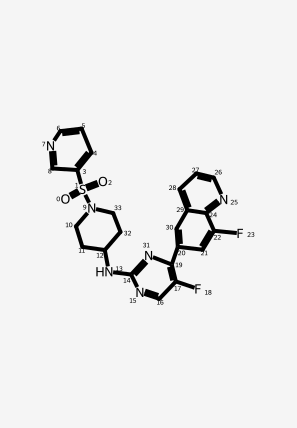 O=S(=O)(c1cccnc1)N1CCC(Nc2ncc(F)c(-c3cc(F)c4ncccc4c3)n2)CC1